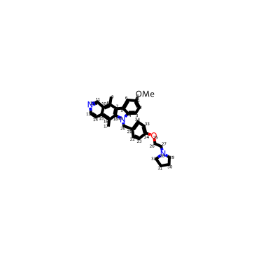 COc1ccc2c(c1)c1c(C)c3cnccc3c(C)c1n2Cc1ccc(OCCN2CCCC2)cc1